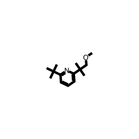 COCC(C)(C)c1cccc(C(C)(C)C)n1